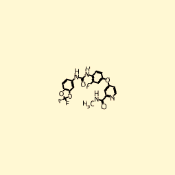 CNC(=O)c1cc(Oc2ccc(NC(=O)Nc3ccc4c(c3)OC(F)(F)O4)c(F)c2)ccn1